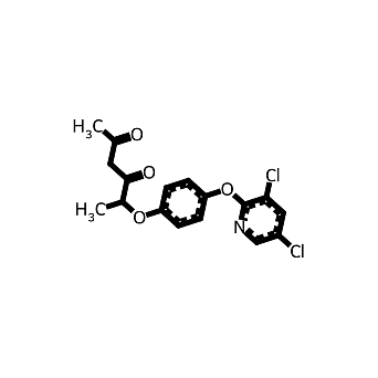 CC(=O)CC(=O)C(C)Oc1ccc(Oc2ncc(Cl)cc2Cl)cc1